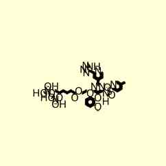 COc1ccccc1Oc1c(NS(=O)(=O)c2ccc(C)cn2)nc(-c2ccnc(-c3nnn[nH]3)c2)nc1OCCOC(=O)CCCC(CON(O)O)ON(O)O